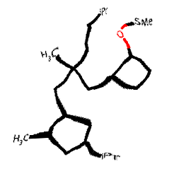 CSOC1CCC1CC(C)(CCC(C)C)CC1CC(C(C)C)CC1C